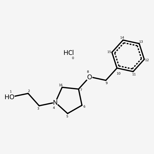 Cl.OCCN1CCC(OCc2ccccc2)C1